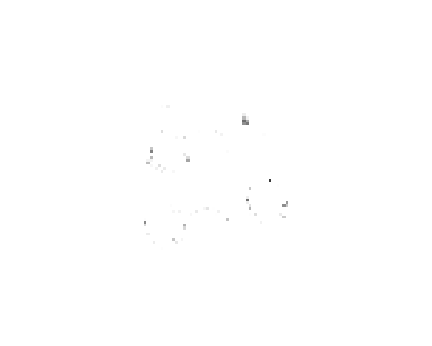 C=C(C)C(=O)Oc1ccccc1O.Oc1ccccc1C=Cc1ccccc1